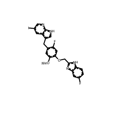 COc1cc(Cc2c[nH]c3ncc(I)cc23)c(F)cc1OCc1nc2cc(F)ccc2[nH]1